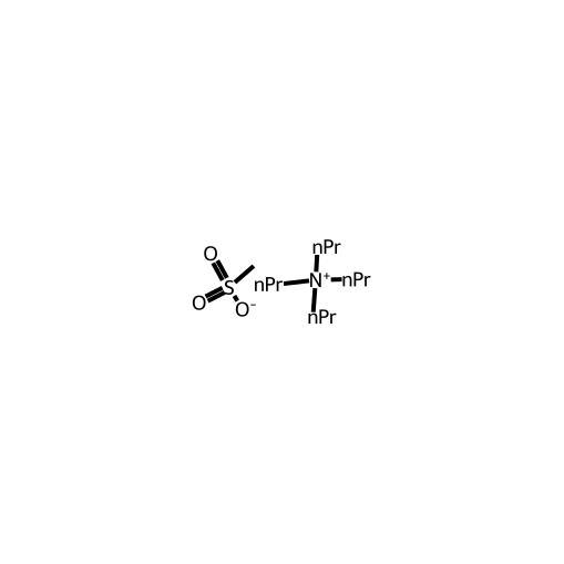 CCC[N+](CCC)(CCC)CCC.CS(=O)(=O)[O-]